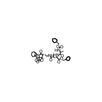 C[C@H](NC(=O)OCc1ccccc1)C(=O)N[C@@H](CCC(=O)NCC[C@H]1C(=O)NC2([C@@H](O)C3C=CCCC3)C(=O)O[C@]12C)C(=O)OCc1ccccc1